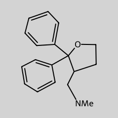 CNCC1CCOC1(c1ccccc1)c1ccccc1